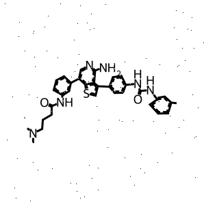 Cc1cccc(NC(=O)Nc2ccc(-c3csc4c(-c5cccc(NC(=O)CCCN(C)C)c5)cnc(N)c34)cc2)c1